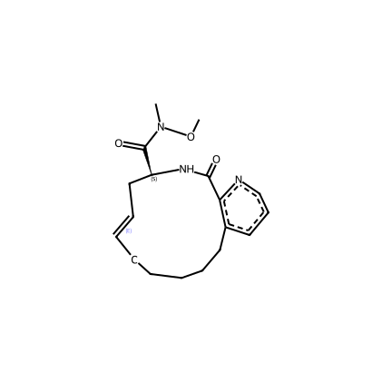 CON(C)C(=O)[C@@H]1C/C=C/CCCCCc2cccnc2C(=O)N1